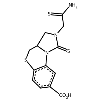 NC(=S)CN1CC2CSc3ccc(C(=O)O)cc3N2C1=S